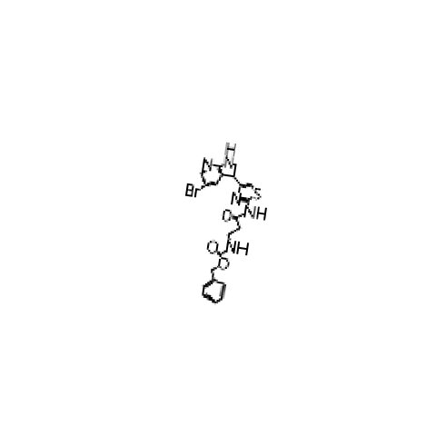 O=C(CCNC(=O)OCc1ccccc1)Nc1nc(C2CNc3ncc(Br)cc32)cs1